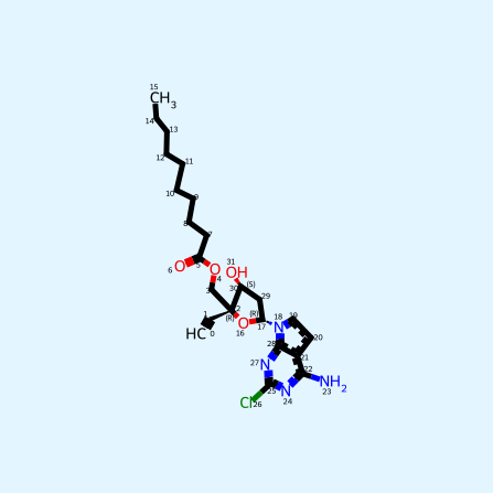 C#C[C@]1(COC(=O)CCCCCCCCC)O[C@@H](n2ccc3c(N)nc(Cl)nc32)C[C@@H]1O